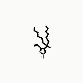 C=Cc1n[nH]cc1C(C)(CCCCCC)CCCCCC